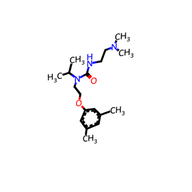 Cc1cc(C)cc(OCCN(C(=O)NCCN(C)C)C(C)C)c1